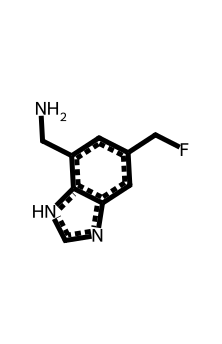 NCc1cc(CF)cc2nc[nH]c12